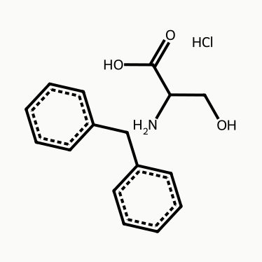 Cl.NC(CO)C(=O)O.c1ccc(Cc2ccccc2)cc1